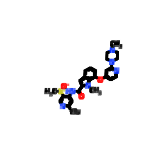 CN1CCN(c2cc(Oc3cccc4cc(C(=O)Nc5cc(C(C)(C)C)ncc5[S+](C)[O-])n(C)c34)ccn2)CC1